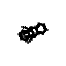 N[C@@H]1C2c3ccccc3C(c3ccccc32)[C@H]1N